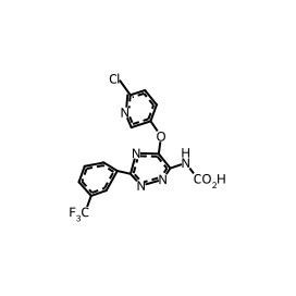 O=C(O)Nc1nnc(-c2cccc(C(F)(F)F)c2)nc1Oc1ccc(Cl)nc1